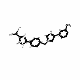 Nc1cccc(-c2cn(Cc3ccc(-c4nnc(C(F)F)o4)cc3)cn2)c1